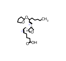 CCCCCC(/C=C/[C@@H]1COC[C@@H]1C/C=C\CCCC(=O)O)OC1CCCCO1